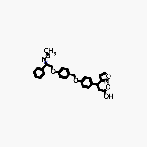 CO/N=C(\COc1ccc(COc2ccc(C(CC(=O)O)c3ccon3)cc2)cc1)c1ccccc1